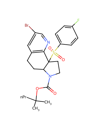 CCCC(C)(C)OC(=O)N1CCC2(S(=O)(=O)c3ccc(F)cc3)c3ncc(Br)cc3CCC12